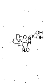 Cc1ccc(Nc2c(C(=O)NOC(CO)CO)cc3ocnc3c2F)c(F)c1